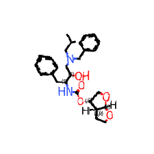 CC(C)CN(Cc1ccccc1)C[C@@H](O)[C@H](Cc1ccccc1)NC(=O)O[C@@H]1CO[C@@H]2OCC[C@@H]21